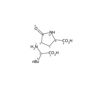 CCCCC(N)C(=O)O.O=C1CCC(C(=O)O)N1